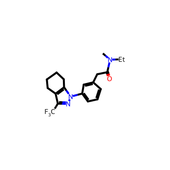 CCN(C)C(=O)Cc1cccc(-n2nc(C(F)(F)F)c3c2CCCC3)c1